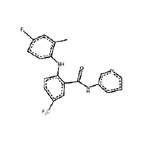 Cc1cc(F)ccc1Nc1ccc(C(F)(F)F)cc1C(=O)Nc1cccnc1